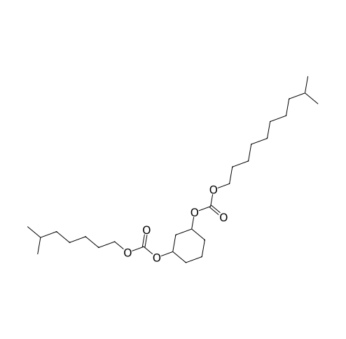 CC(C)CCCCCCCCOC(=O)OC1CCCC(OC(=O)OCCCCCC(C)C)C1